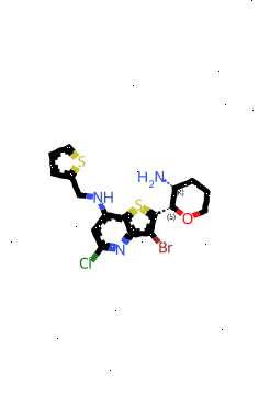 N[C@@H]1CCCO[C@@H]1c1sc2c(NCc3cccs3)cc(Cl)nc2c1Br